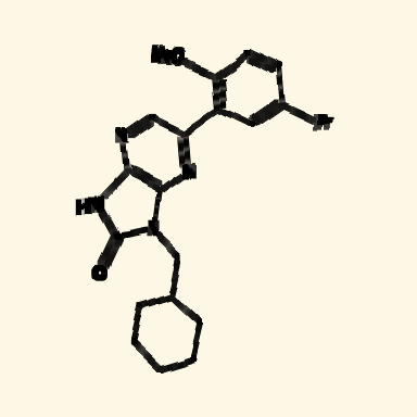 COc1ccc(C(C)C)cc1-c1cnc2[nH]c(=O)n(CC3CCCCC3)c2n1